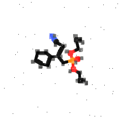 CCOP(=O)(C/C(=C/C#N)c1ccccc1)OCC